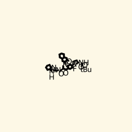 CC(C)(C)OC(=O)NC1CCN(c2c(F)cc3c(=O)c(C(=O)NCc4nc5ccccc5[nH]4)cn4c3c2Oc2cc3ccccc3cc2-4)C1